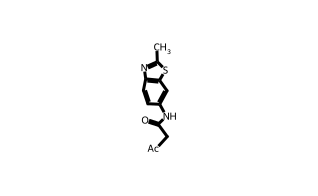 CC(=O)CC(=O)Nc1ccc2nc(C)sc2c1